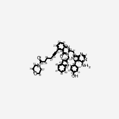 Nc1ncnc2c1c(-c1ccc(O)cc1)nn2Cc1nc2cccc(C#CCCCC(=O)N3CCOCC3)c2c(=O)n1Cc1cc2ccccc2s1